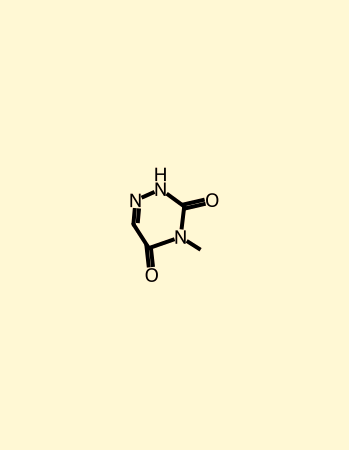 Cn1c(=O)cn[nH]c1=O